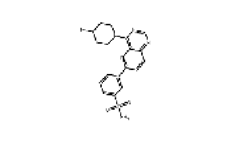 NS(=O)(=O)c1cccc(-c2ccc3ncnc(N4CCC(F)CC4)c3n2)c1